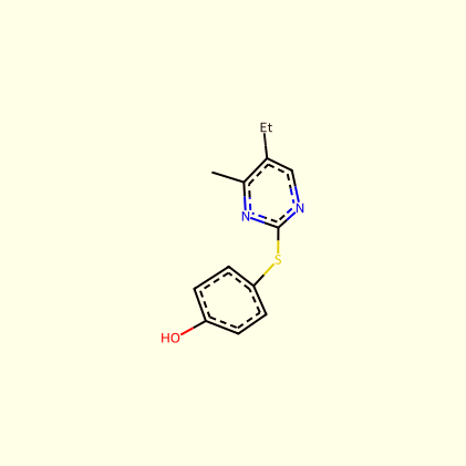 CCc1cnc(Sc2ccc(O)cc2)nc1C